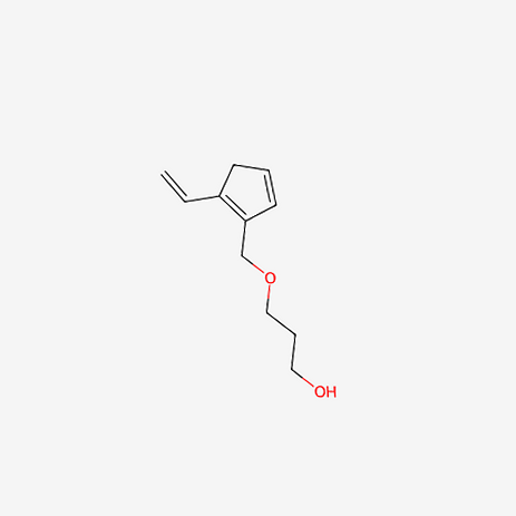 C=CC1=C(COCCCO)C=CC1